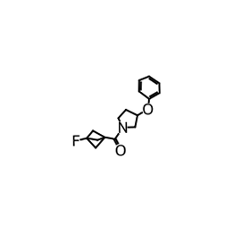 O=C(N1CCC(Oc2ccccc2)C1)C12CC(F)(C1)C2